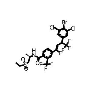 CCS(=O)(=O)C[C@@H](C)NC(=O)c1ccc(/C(F)=C/C(c2cc(Cl)c(Br)c(Cl)c2)C(F)(F)F)cc1C(F)(F)F